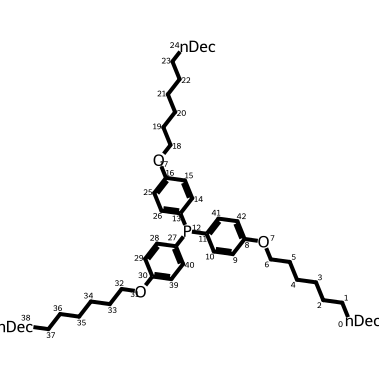 CCCCCCCCCCCCCCCCOc1ccc(P(c2ccc(OCCCCCCCCCCCCCCCC)cc2)c2ccc(OCCCCCCCCCCCCCCCC)cc2)cc1